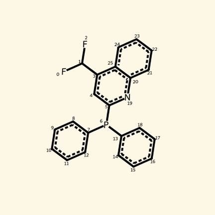 FC(F)c1cc(P(c2ccccc2)c2ccccc2)nc2ccccc12